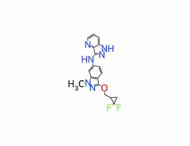 Cn1nc(OCC2CC2(F)F)c2ccc(Nc3n[nH]c4cccnc34)cc21